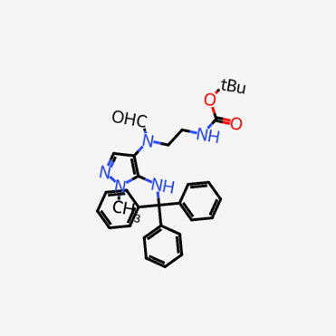 Cn1ncc(N(C=O)CCNC(=O)OC(C)(C)C)c1NC(c1ccccc1)(c1ccccc1)c1ccccc1